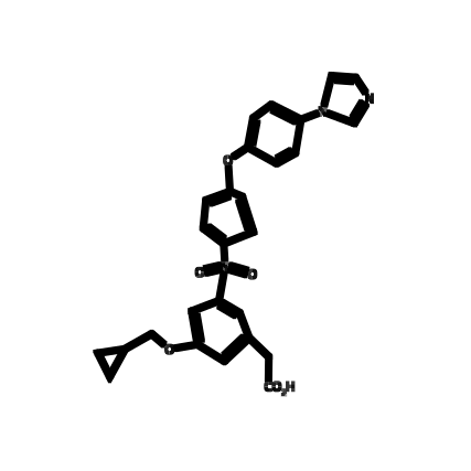 O=C(O)Cc1cc(OCC2CC2)cc(S(=O)(=O)c2ccc(Oc3ccc(-n4ccnc4)cc3)cc2)c1